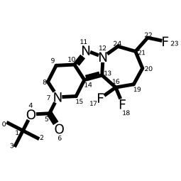 CC(C)(C)OC(=O)N1CCc2nn3c(c2C1)C(F)(F)CCC(CF)C3